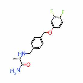 C[C@@H](NCc1ccc(COc2ccc(F)c(F)c2)cc1)C(N)=O